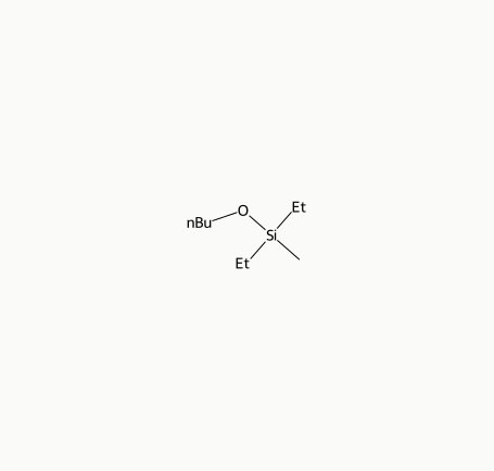 CCCCO[Si](C)(CC)CC